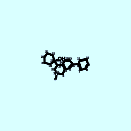 CN1Cc2cc(-c3ccccc3)ccc2C(C2(O)CCCCC2)C1